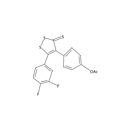 CC(=O)Oc1ccc(-c2c(-c3ccc(F)c(F)c3)ssc2=S)cc1